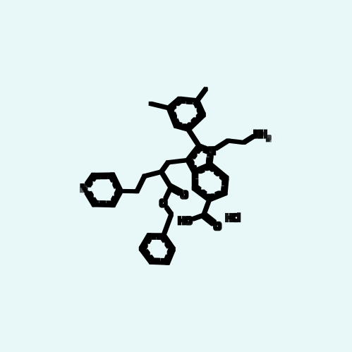 Cc1cc(C)cc(-c2c(CC(CCc3ccncc3)C(=O)OCc3ccccc3)c3cc(C(=O)O)ccc3n2CCN)c1.Cl